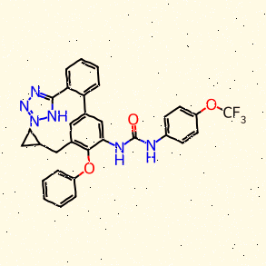 O=C(Nc1ccc(OC(F)(F)F)cc1)Nc1cc(-c2ccccc2-c2nnn[nH]2)cc(CC2CC2)c1Oc1ccccc1